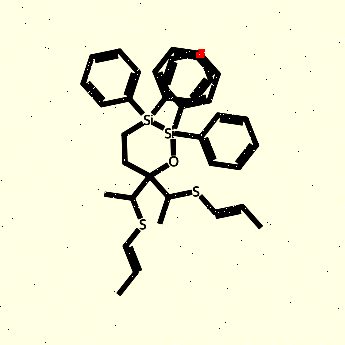 CC=CSC(C)C1(C(C)SC=CC)CC[Si](c2ccccc2)(c2ccccc2)[Si](c2ccccc2)(c2ccccc2)O1